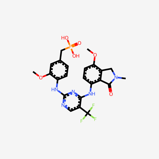 COc1cc(CP(=O)(O)O)ccc1Nc1ncc(C(F)(F)F)c(Nc2ccc(OC)c3c2C(=O)N(C)C3)n1